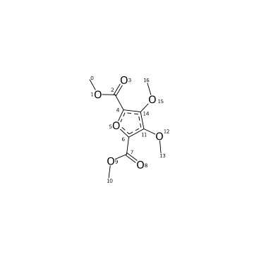 COC(=O)c1oc(C(=O)OC)c(OC)c1OC